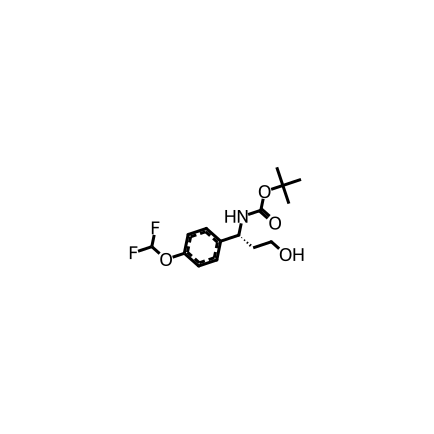 CC(C)(C)OC(=O)N[C@H](CCO)c1ccc(OC(F)F)cc1